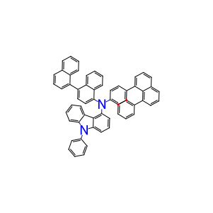 c1ccc(-c2cccc3cccc(-c4ccc(N(c5ccc(-c6cccc7ccccc67)c6ccccc56)c5cccc6c5c5ccccc5n6-c5ccccc5)cc4)c23)cc1